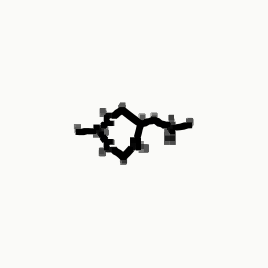 CNCC1CCN(C)CC[N]1